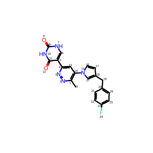 Cc1nnc(-c2c[nH]c(=O)[nH]c2=O)cc1-n1ccc(Cc2ccc(F)cc2)c1